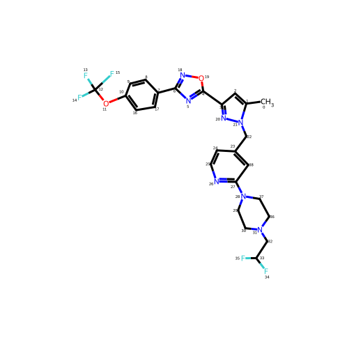 Cc1cc(-c2nc(-c3ccc(OC(F)(F)F)cc3)no2)nn1Cc1ccnc(N2CCN(CC(F)F)CC2)c1